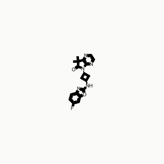 CC1(C)C(=O)N([C@H]2C[C@H](Nc3nc4ccc(F)cc4o3)C2)c2nccnc21